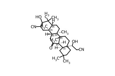 [C-]#[N+]C1=C(O)C(C)(C)[C@@H]2CC[C@]3(C)[C@H](CC(=O)[C@@H]4[C@@H]5CC(C)(C)CC[C@]5(C(O)CC#N)CC[C@]43C)[C@@]2(C)C1